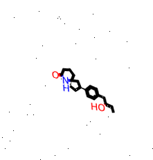 CC=C(O)Cc1ccc([C@H]2CC[C@]3(CCCC(=O)N3)C2)cc1